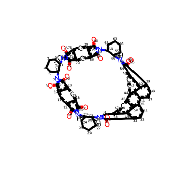 C[C@@]12CCCCC1n1c(=O)c3cc4c(=O)n(c(=O)c4cc3c1=O)[C@@H]1CCCC[C@H]1N1C(=O)c3ccc4c5ccc6c7c(ccc(c8ccc(c3c48)C1=O)c75)C(=O)N(C6=O)[C@@H]1CCCCC1n1c(=O)c3cc4c(=O)n2c(=O)c4cc3c1=O